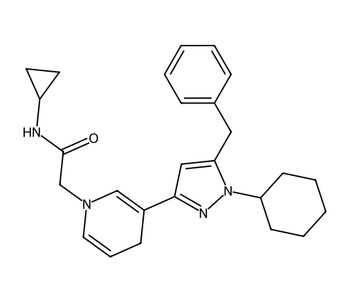 O=C(CN1C=CCC(c2cc(Cc3ccccc3)n(C3CCCCC3)n2)=C1)NC1CC1